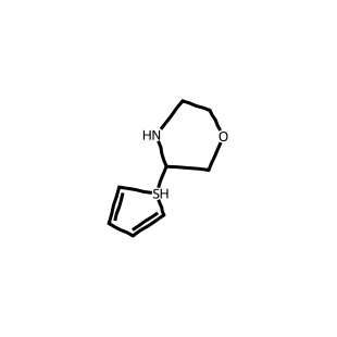 C1=C[SH](C2COCCN2)C=C1